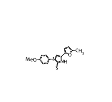 COc1ccc(-n2cc(-c3ccc(C)o3)[nH]c2=S)cc1